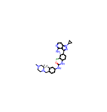 CN1CCN(Cc2ccc(NC(=O)Nc3ccc(-c4nn(C5CC5)c5ccnc(N)c45)cc3F)cc2C(F)(F)F)CC1